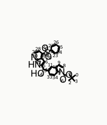 CC(C)(C)OC(=O)n1ccc2cc(C(O)c3cc4c(S(=O)(=O)c5ccccc5)ccnc4[nH]3)ccc21